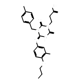 CCCOc1ccc(/N=c2\[nH]c(=O)n(CCC(=O)O)c(=O)n2Cc2ccc(C)cc2)cc1Cl